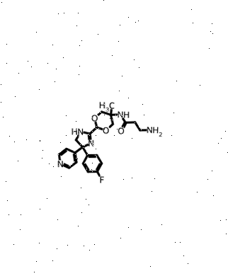 CC1(NC(=O)CCN)COC(C2=NC(c3ccncc3)(c3ccc(F)cc3)CN2)OC1